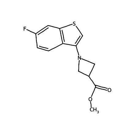 COC(=O)C1CN(c2csc3cc(F)ccc23)C1